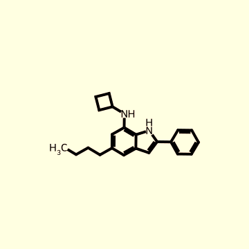 CCCCc1cc(NC2CCC2)c2[nH]c(-c3ccccc3)cc2c1